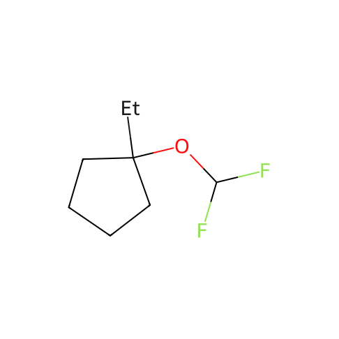 CCC1(OC(F)F)CCCC1